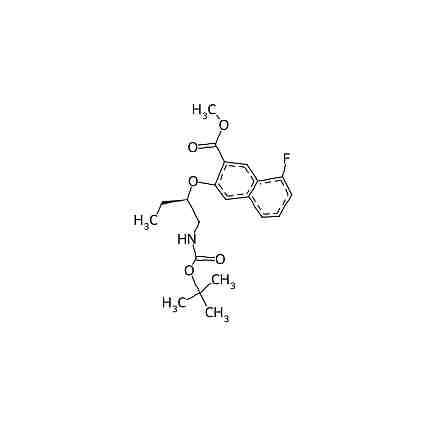 CC[C@H](CNC(=O)OC(C)(C)C)Oc1cc2cccc(F)c2cc1C(=O)OC